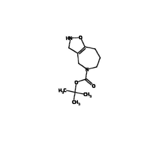 CC(C)(C)OC(=O)N1CCCC2=C(CNO2)C1